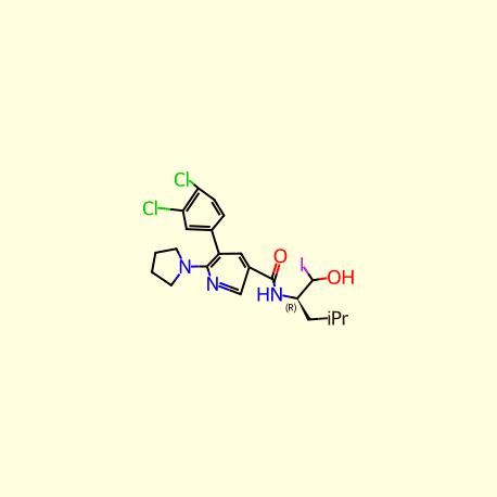 CC(C)C[C@@H](NC(=O)c1cnc(N2CCCC2)c(-c2ccc(Cl)c(Cl)c2)c1)C(O)I